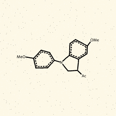 COc1ccc(N2CC(C(C)=O)c3cc(OC)ccc32)cc1